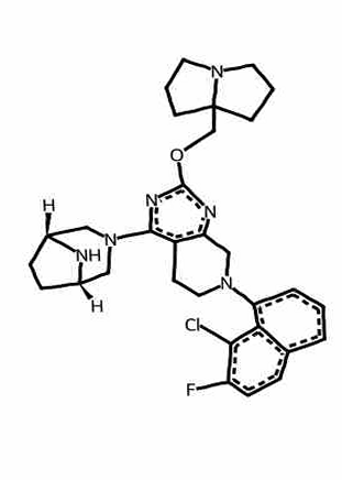 Fc1ccc2cccc(N3CCc4c(nc(OCC56CCCN5CCC6)nc4N4C[C@H]5CC[C@@H](C4)N5)C3)c2c1Cl